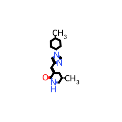 C[C@H]1CNC(=O)/C(=C/c2cn([C@H]3CC[C@H](C)CC3)cn2)C1